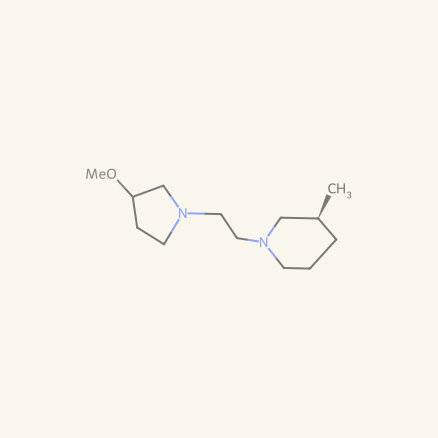 COC1CCN(CCN2CCC[C@H](C)C2)C1